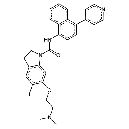 CN(C)CCOc1cc2c(cc1I)CCN2C(=O)Nc1ccc(-c2ccncc2)c2ccccc12